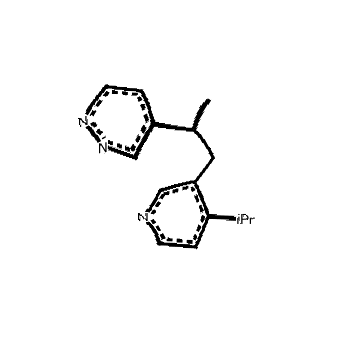 CC(C)c1ccncc1CC(C)c1ccnnc1